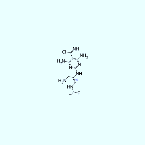 N=C(Cl)c1c(N)nc(N/C(=C/NC(F)F)CN)nc1N